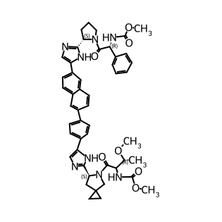 COC(=O)NC(C(=O)N1CC2(CC2)C[C@H]1c1ncc(-c2ccc(-c3ccc4cc(-c5cnc([C@@H]6CCCN6C(=O)[C@H](NC(=O)OC)c6ccccc6)[nH]5)ccc4c3)cc2)[nH]1)[C@@H](C)OC